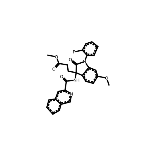 COC(=O)CCC1(NC(=O)c2cc3ccccc3cn2)C(=O)N(c2ccccc2F)c2cc(OC)ccc21